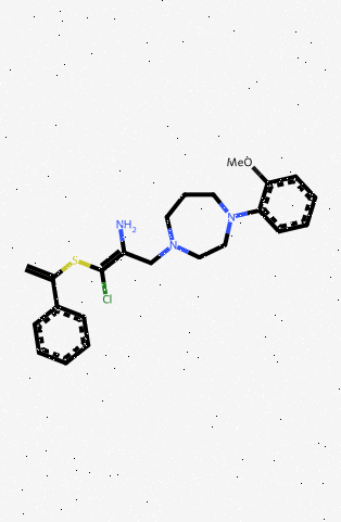 C=C(S/C(Cl)=C(\N)CN1CCCN(c2ccccc2OC)CC1)c1ccccc1